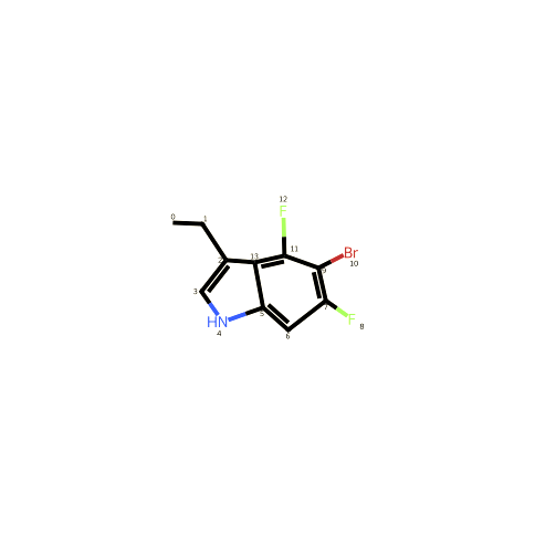 CCc1c[nH]c2cc(F)c(Br)c(F)c12